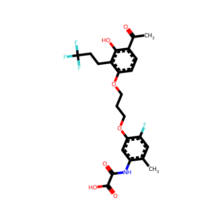 CC(=O)c1ccc(OCCCOc2cc(NC(=O)C(=O)O)c(C)cc2F)c(CCC(F)(F)F)c1O